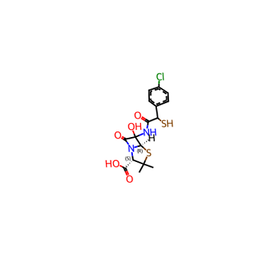 CC1(C)S[C@H]2N(C(=O)C2(O)NC(=O)C(S)c2ccc(Cl)cc2)[C@H]1C(=O)O